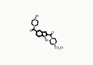 CCOC(=O)N1CCN(C(=O)c2cc3cc(C(=O)N4CCN(C(C)C)CC4)ccc3n2C(C)C)CC1